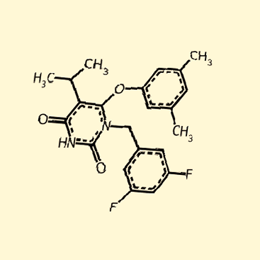 Cc1cc(C)cc(Oc2c(C(C)C)c(=O)[nH]c(=O)n2Cc2cc(F)cc(F)c2)c1